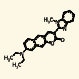 CCN(CC)c1ccc2cc3cc(-c4nc5ccccc5n4C)c(=O)oc3cc2c1